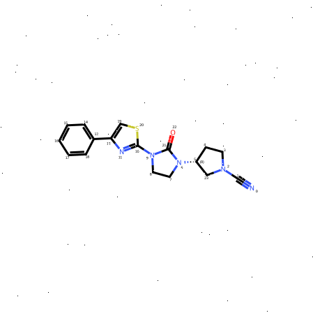 N#CN1CC[C@@H](N2CCN(c3nc(-c4ccccc4)cs3)C2=O)C1